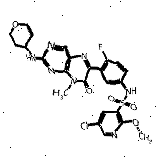 COc1ncc(Cl)cc1S(=O)(=O)Nc1ccc(F)c(-c2nc3cnc(NC4CCOCC4)nc3n(C)c2=O)c1